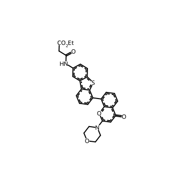 CCOC(=O)CC(=O)Nc1ccc2sc3c(-c4cccc5c(=O)cc(N6CCOCC6)oc45)cccc3c2c1